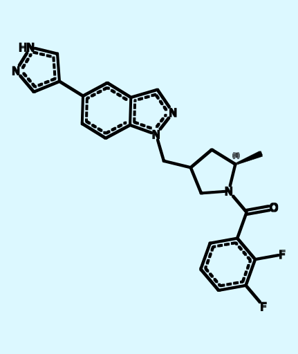 C[C@@H]1CC(Cn2ncc3cc(-c4cn[nH]c4)ccc32)CN1C(=O)c1cccc(F)c1F